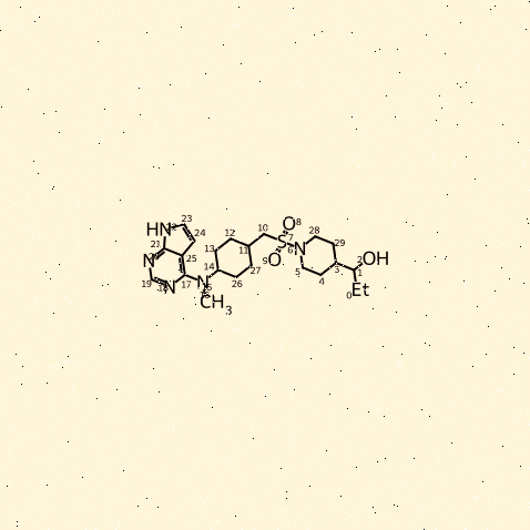 CCC(O)C1CCN(S(=O)(=O)CC2CCC(N(C)c3ncnc4[nH]ccc34)CC2)CC1